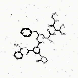 CCNC(=O)[C@@H](NC(=O)[C@H](C)NC[C@H](Cc1ccccc1)NC(=O)c1cc(C(=O)N[C@H](C)c2ccccc2)cc(N2CCOC2=O)c1)C(C)C